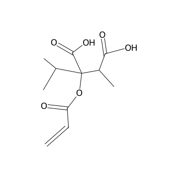 C=CC(=O)OC(C(=O)O)(C(C)C)C(C)C(=O)O